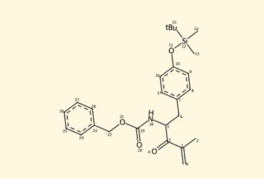 C=C(C)C(=O)C(Cc1ccc(O[Si](C)(C)C(C)(C)C)cc1)NC(=O)OCc1ccccc1